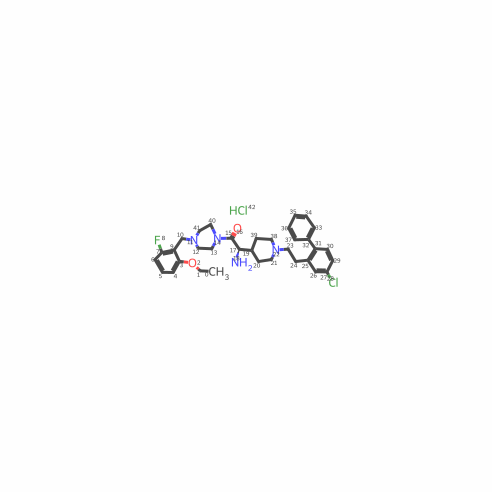 CCOc1cccc(F)c1CN1CCN(C(=O)[C@H](N)C2CCN(CCc3cc(Cl)ccc3-c3ccccc3)CC2)CC1.Cl